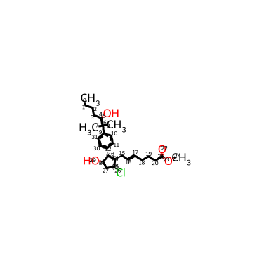 CCCCC(O)C(C)(C)c1ccc([C@@H]2[C@@H](CC=CCCCC(=O)OC)[C@H](Cl)C[C@H]2O)cc1